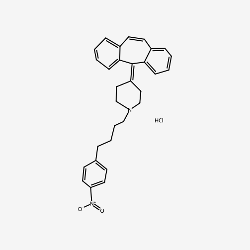 Cl.O=[N+]([O-])c1ccc(CCCCN2CCC(=C3c4ccccc4C=Cc4ccccc43)CC2)cc1